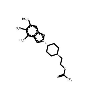 Cc1c([N+](=O)[O-])c(C(=O)O)cc2nn([C@H]3CC[C@H](CCOC(=O)C(F)(F)F)CC3)cc12